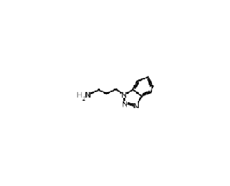 NCCCn1nnc2ccccc21